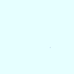 CCOC([SiH3])OCC.Cc1ccc(C(C)C)cc1